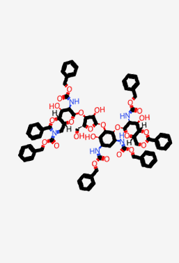 O=C(N[C@H]1[C@@H](O[C@H]2[C@@H](O)[C@H](O[C@@H]3[C@@H](O)[C@H](NC(=O)OCc4ccccc4)C[C@H](NC(=O)OCc4ccccc4)[C@H]3O[C@H]3O[C@@H]4COC(c5ccccc5)O[C@H]4[C@H](O)[C@H]3NC(=O)OCc3ccccc3)O[C@@H]2CO)O[C@H]2CN(C(=O)OCc3ccccc3)C(c3ccccc3)O[C@H]2[C@@H]1O)OCc1ccccc1